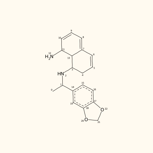 CC(NC1CC=CC2=CC=CC(N)C21)c1ccc2c(c1)OCO2